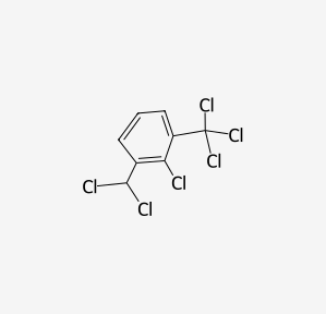 Clc1c(C(Cl)Cl)cccc1C(Cl)(Cl)Cl